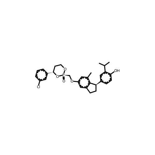 Cc1cc(OC[P@]2(=O)OCC[C@@H](c3cccc(Cl)c3)O2)cc2c1[C@@H](c1ccc(O)c(C(C)C)c1)CC2